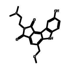 COCc1cc2c(c3c1[nH]c1ccc(O)cc13)C(=O)N(CCN(C)C)C2=O